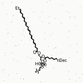 CC/C=C/C/C=C/C/C=C/C/C=C/C/C=C/C/C=C/CCC(=O)OC[C@H](COP(=O)(O)OCC[N+](C)(C)C)OC(=O)CCCCCCCCCCCCCCC